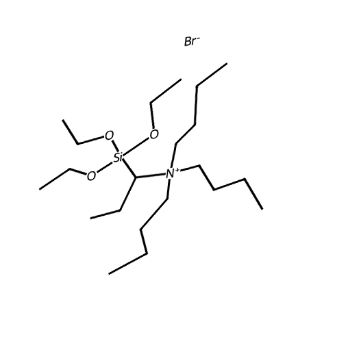 CCCC[N+](CCCC)(CCCC)C(CC)[Si](OCC)(OCC)OCC.[Br-]